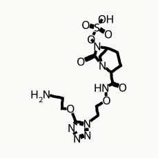 NCCOc1nnnn1CCONC(=O)C1CCC2CN1C(=O)N2OS(=O)(=O)O